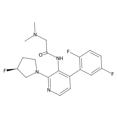 CN(C)CC(=O)Nc1c(-c2cc(F)ccc2F)ccnc1N1CC[C@H](F)C1